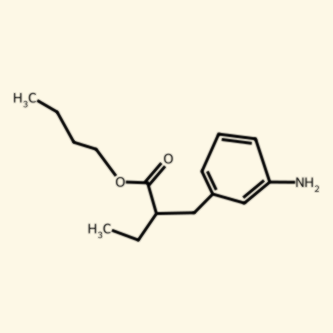 CCCCOC(=O)C(CC)Cc1cccc(N)c1